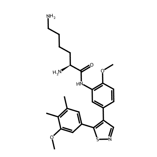 COc1ccc(-c2cnsc2-c2cc(C)c(C)c(OC)c2)cc1NC(=O)[C@@H](N)CCCCN